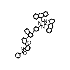 c1ccc(-c2nc3c(ccc4oc5c(-c6ccc(-c7ccc(-c8nc(-c9c%10ccccc%10cc%10ccccc9%10)nc(-c9c%10ccccc%10cc%10ccccc9%10)n8)cc7)c7ccccc67)cccc5c43)o2)cc1